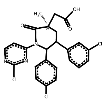 C[C@]1(CC(=O)O)CC(c2cccc(Cl)c2)C(c2ccc(Cl)cc2)N(c2ccnc(Cl)n2)C1=O